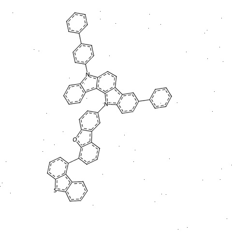 c1ccc(-c2ccc(-n3c4ccccc4c4c3ccc3c5cc(-c6ccccc6)ccc5n(-c5ccc6oc7c(-c8cccc9sc%10ccccc%10c89)cccc7c6c5)c34)cc2)cc1